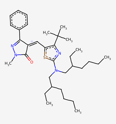 CCCCC(CC)CN(CC(CC)CCCC)c1nc(C(C)(C)C)c(/C=C2\C(=O)N(C)N=C2c2ccccc2)s1